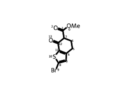 COC(=O)C1CCc2cc(Br)sc2C1=O